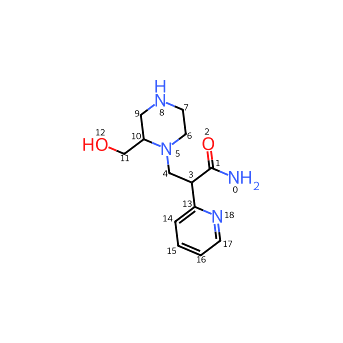 NC(=O)C(CN1CCNCC1CO)c1ccccn1